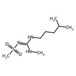 CN/C(=N\S(C)(=O)=O)NCCCC(C)C